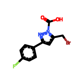 O=C(O)n1nc(-c2ccc(F)cc2)cc1CBr